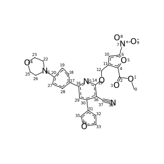 COC(=O)c1oc([N+](=O)[O-])cc1COc1nc(-c2ccc(N3CCOCC3)cc2)cc(-c2ccoc2)c1C#N